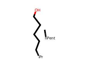 CC(C)CCCCCO.CCCCCC